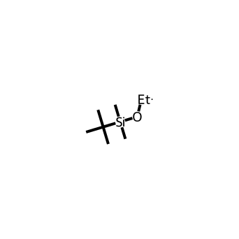 C[CH]O[Si](C)(C)C(C)(C)C